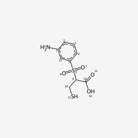 Nc1cccc(S(=O)(=O)C(CS)C(=O)O)c1